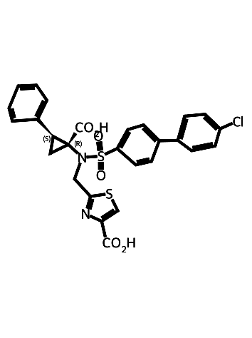 O=C(O)c1csc(CN([C@]2(C(=O)O)C[C@H]2c2ccccc2)S(=O)(=O)c2ccc(-c3ccc(Cl)cc3)cc2)n1